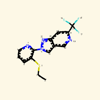 CCSc1cccnc1-n1cc2cnc(C(F)(F)F)cc2n1